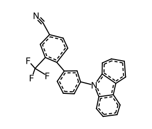 N#Cc1ccc(-c2cccc(-n3c4ccccc4c4ccccc43)c2)c(C(F)(F)F)c1